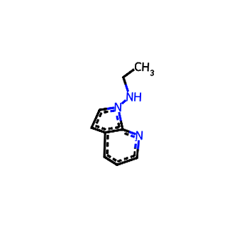 CCNn1ccc2cccnc21